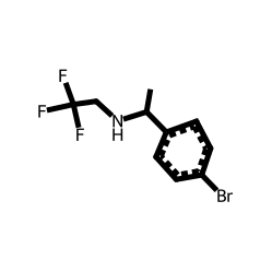 CC(NCC(F)(F)F)c1ccc(Br)cc1